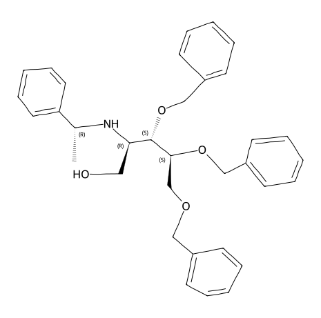 C[C@@H](N[C@H](CO)[C@H](OCc1ccccc1)[C@H](COCc1ccccc1)OCc1ccccc1)c1ccccc1